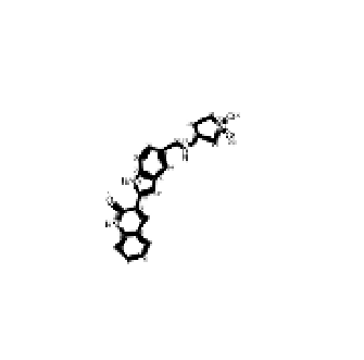 O=c1[nH]c2ccccc2cc1-c1cc2cc(CNC3CCS(=O)(=O)C3)ccc2[nH]1